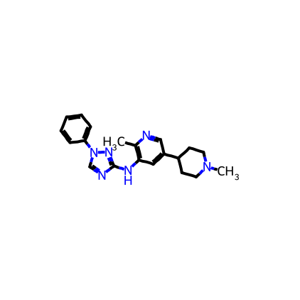 Cc1ncc(C2CCN(C)CC2)cc1Nc1ncn(-c2ccccc2)n1